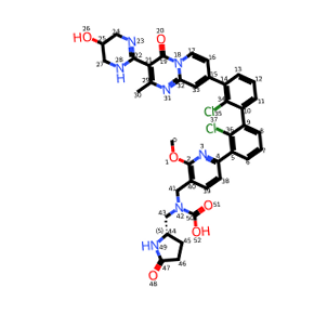 COc1nc(-c2cccc(-c3cccc(-c4ccn5c(=O)c(C6=NCC(O)CN6)c(C)nc5c4)c3Cl)c2Cl)ccc1CN(C[C@@H]1CCC(=O)N1)C(=O)O